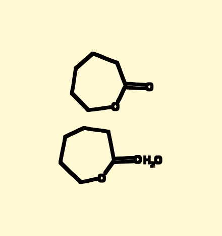 O.O=C1CCCCCO1.O=C1CCCCCO1